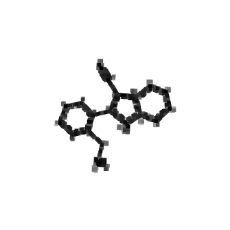 N#Cc1c(-c2ccccc2CN)[nH]c2ccccc12